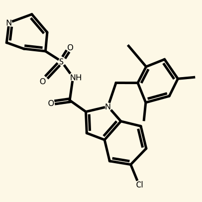 Cc1cc(C)c(Cn2c(C(=O)NS(=O)(=O)c3ccncc3)cc3cc(Cl)ccc32)c(C)c1